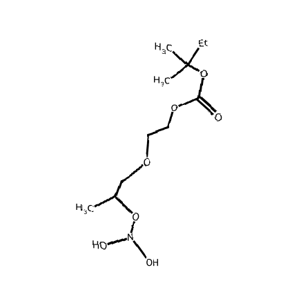 CCC(C)(C)OC(=O)OCCOCC(C)ON(O)O